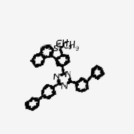 C[Si]1(C)c2ccc(-c3nc(-c4ccc(-c5ccccc5)cc4)nc(-c4cccc(-c5ccccc5)c4)n3)cc2-c2c1ccc1ccccc21